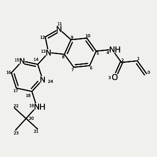 C=CC(=O)Nc1ccc2c(c1)ncn2-c1nccc(NC(C)(C)C)n1